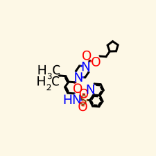 C=C(C)/C=C(\C=C/CNS(=O)(=O)c1cccc2cccnc12)C(=O)N1CCN(C(=O)OCCC2CCCC2)CC1